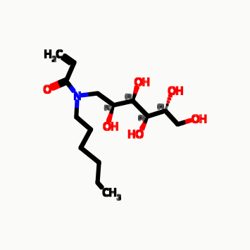 C=CC(=O)N(CCCCCC)C[C@H](O)[C@@H](O)[C@H](O)[C@H](O)CO